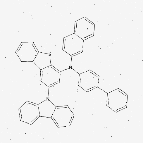 c1ccc(-c2ccc(N(c3ccc4ccccc4c3)c3cc(-n4c5ccccc5c5ccccc54)cc4c3sc3ccccc34)cc2)cc1